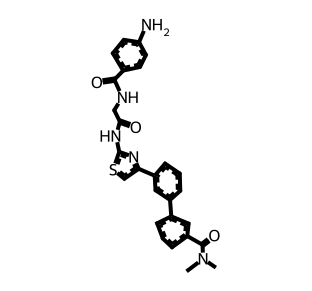 CN(C)C(=O)c1cccc(-c2cccc(-c3csc(NC(=O)CNC(=O)c4ccc(N)cc4)n3)c2)c1